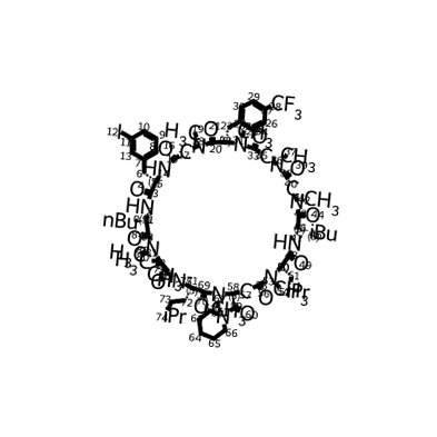 CCCC[C@@H]1NC(=O)[C@H](Cc2cccc(I)c2)NC(=O)CN(C)C(=O)[C@H](Cc2ccc(C(F)(F)F)cc2)N(C)C(=O)CN(C)C(=O)CN(C)C(=O)[C@H]([C@@H](C)CC)NC(=O)[C@H](CC(C)C)N(C)C(=O)C[C@@H](C(=O)N2CCCCC2)N(C)C(=O)[C@H](CCC(C)C)NC(=O)C(C)(C)N(C)C1=O